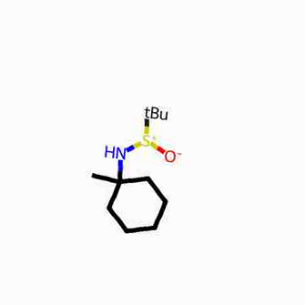 CC1(N[S+]([O-])C(C)(C)C)CCCCC1